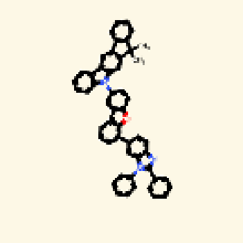 CC1(C)c2ccccc2-c2cc3c4ccccc4n(-c4ccc5oc6c(-c7ccc8nc(-c9ccccc9)n(-c9ccccc9)c8c7)cccc6c5c4)c3cc21